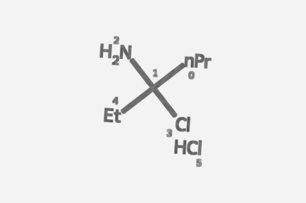 CCCC(N)(Cl)CC.Cl